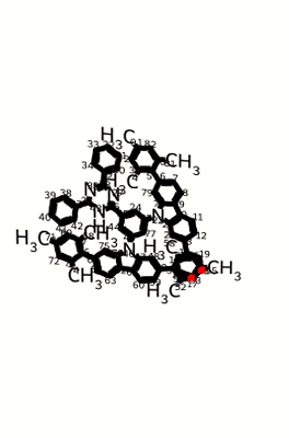 Cc1cc(C)c(-c2ccc3c4ccc(-c5ccccc5)cc4n(-c4cc(C5=NC(c6ccccc6)=NC(c6ccccc6)N5)cc(-n5c6cc(-c7c(C)cc(C)cc7C)ccc6c6ccc(-c7c(C)cc(C)cc7C)cc65)c4)c3c2)c(C)c1